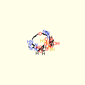 O=P1(S)OCC2O[C@@H]3[C@H](OP(=O)(S)OC[C@H]4O[C@H]([C@H](O1)[C@@H]4O)n1cnc4c(ncnc41)NC/C=C/COc1ncnc4c1ncn43)[C@@H]2O